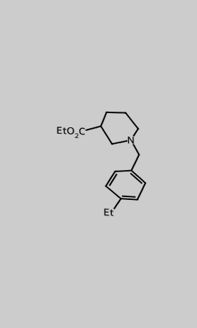 CCOC(=O)C1CCCN(Cc2ccc(CC)cc2)C1